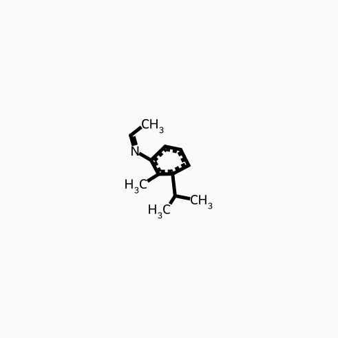 C/C=N\c1cccc(C(C)C)c1C